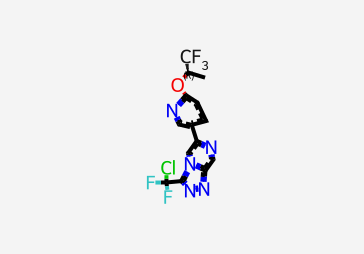 C[C@@H](Oc1ccc(-c2cn3c(C(F)(F)Cl)nnc3cn2)cn1)C(F)(F)F